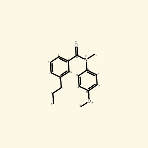 CCCc1cccc(C(=O)N(C)c2ccc(OC)cc2)c1